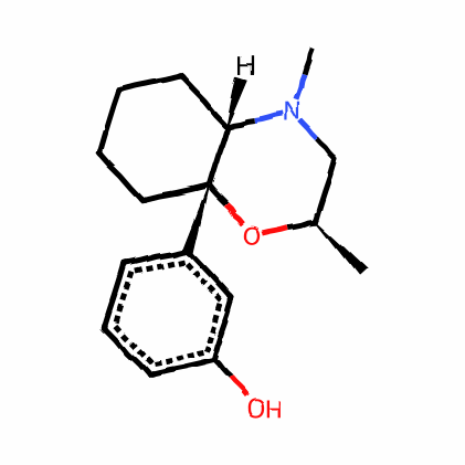 C[C@@H]1CN(C)[C@H]2CCCC[C@@]2(c2cccc(O)c2)O1